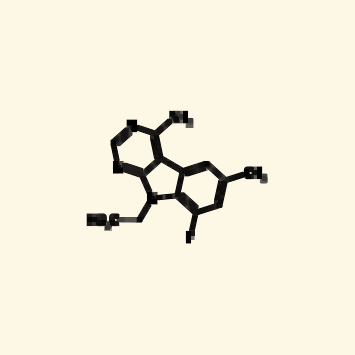 Cc1cc(F)c2c(c1)c1c(N)ncnc1n2CC(=O)O